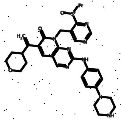 C=C(c1cc2cnc(Nc3ccc(N4CCNCC4)cc3)nc2n(Cc2cncnc2[S+]([O-])C(C)C)c1=O)C1CCOCC1